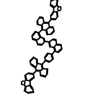 c1cc(-c2ccc(-c3c4ccccc4c(-c4ccc5oc6ccccc6c5c4)c4ccccc34)cc2)c2cc(-c3ccc4cccc(-c5c6ccccc6c(-c6ccc7oc8ccccc8c7c6)c6ccccc56)c4c3)ccc2c1